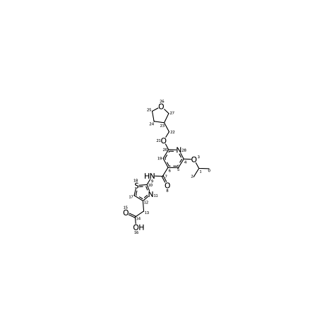 CC(C)Oc1cc(C(=O)Nc2nc(CC(=O)O)cs2)cc(OCC2CCOC2)n1